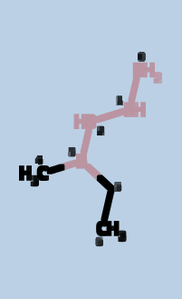 BBBB(C)CC